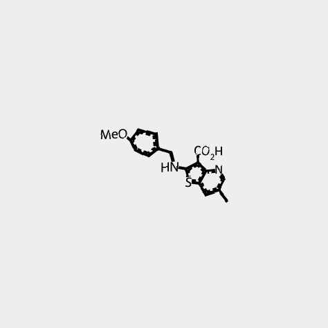 COc1ccc(CNc2sc3cc(C)cnc3c2C(=O)O)cc1